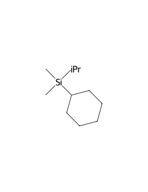 CC(C)[Si](C)(C)C1CCCCC1